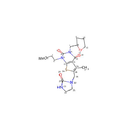 COCCn1c(=O)n(CC2CCCO2)c(=O)c2c(C)c(CN3CCNC3=O)sc21